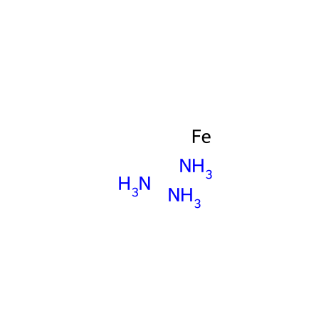 N.N.N.[Fe]